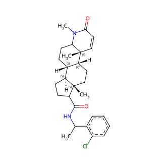 CC(NC(=O)C1CC[C@H]2[C@@H]3CCC4N(C)C(=O)C=C[C@]4(C)[C@@H]3CC[C@]12C)c1ccccc1Cl